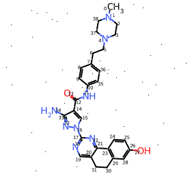 CN1CCN(CCc2ccc(NC(=O)c3cn(-c4ncc5c(n4)-c4ccc(O)cc4CC5)nc3N)cc2)CC1